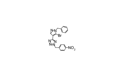 O=[N+]([O-])c1ccc(Cn2nnc(-c3cnn(Cc4ccccc4)c3Br)n2)cc1